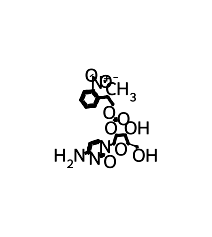 CC(COC(=O)O[C@@H]1[C@H](O)[C@@H](CO)O[C@H]1n1ccc(N)nc1=O)c1ccccc1[N+](=O)[O-]